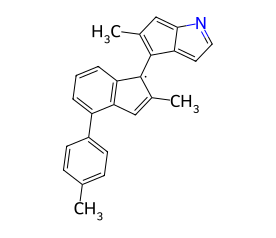 CC1=Cc2c(cccc2-c2ccc(C)cc2)[C]1C1=C(C)C=C2N=CC=C21